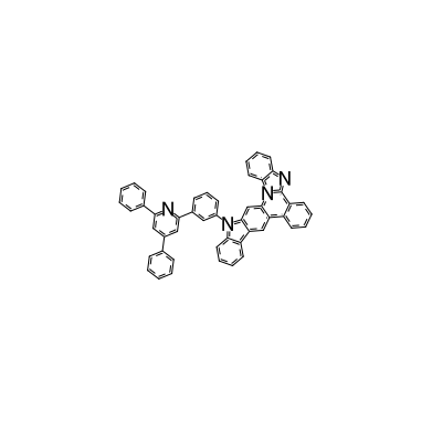 c1ccc(-c2cc(-c3ccccc3)nc(-c3cccc(-n4c5ccccc5c5cc6c7ccccc7c7nc8ccccc8n7c6cc54)c3)c2)cc1